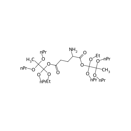 CCCOC(C)(OCCC)C(OCC)(OCCC)OC(=O)CCC(N)C(=O)OC(OCC)(OCCC)C(C)(OCCC)OCCC